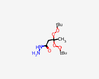 CC(C)(C)OOC(C)(CC(=O)NN)OOC(C)(C)C